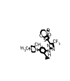 CC1CN(C)CCN1c1ccc(Nc2ncc(C(F)(F)F)c(-c3cc4c(s3)OCCCS4(=O)=O)n2)c(C2CC2)c1